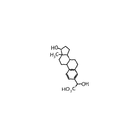 CC12CCC3c4ccc(C(O)C(=O)O)cc4CCC3C1CCC2O